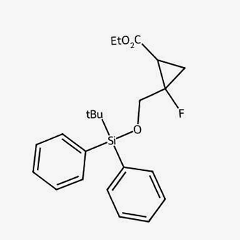 CCOC(=O)C1CC1(F)CO[Si](c1ccccc1)(c1ccccc1)C(C)(C)C